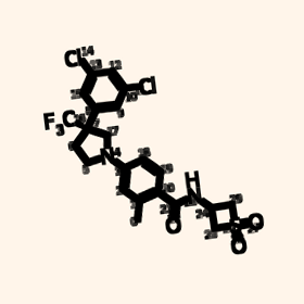 Cc1cc(N2CC[C@@](c3cc(Cl)cc(Cl)c3)(C(F)(F)F)C2)ccc1C(=O)NC1CS(=O)(=O)C1